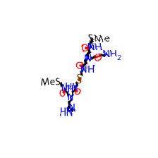 CSCCNC(=O)CCN(CCOCCN)CCC(=O)NCCSSCCNC(=O)CCN(CCC(=O)NCCSC)CCc1c[nH]cn1